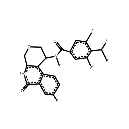 CN(C(=O)c1cc(F)c(C(F)F)c(F)c1)C1COCc2[nH]c(=O)c3cc(F)ccc3c21